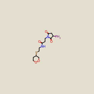 O=C(CCN1C(=O)CC(P)C1=O)NCCSC1CCOOC1